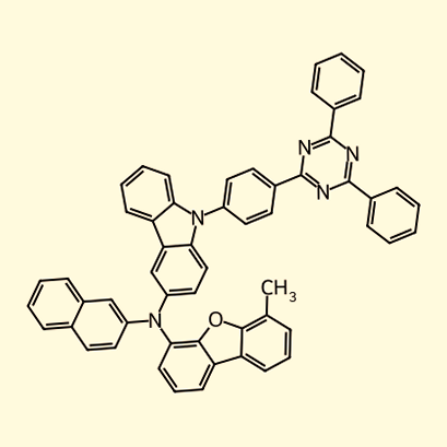 Cc1cccc2c1oc1c(N(c3ccc4ccccc4c3)c3ccc4c(c3)c3ccccc3n4-c3ccc(-c4nc(-c5ccccc5)nc(-c5ccccc5)n4)cc3)cccc12